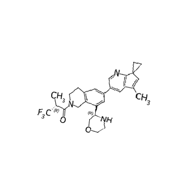 CC1=CC2(CC2)c2ncc(-c3cc4c(c([C@@H]5COCCN5)c3)CN(C(=O)[C@@H](C)C(F)(F)F)CC4)cc21